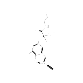 C#Cc1cnc2c(C)cc(OC(C)(S)C(=O)NCCC)cc2c1